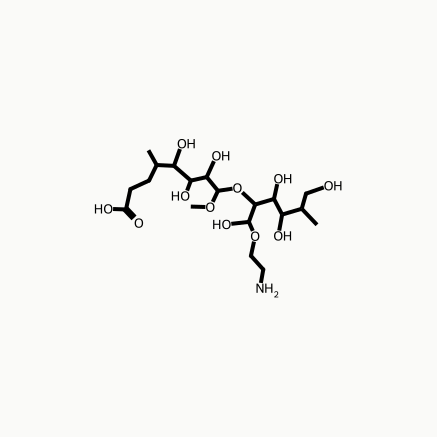 COC(OC(C(O)OCCN)C(O)C(O)C(C)CO)C(O)C(O)C(O)C(C)CCC(=O)O